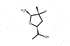 B[C@@H]1O[C@H](C(C)O)C[C@@]1(C)F